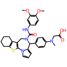 COc1ccc(NC(=O)N2Cc3c(sc4c3CCCC4)-n3cccc3C2c2ccc(N(C)CC(=O)O)cc2)cc1OC